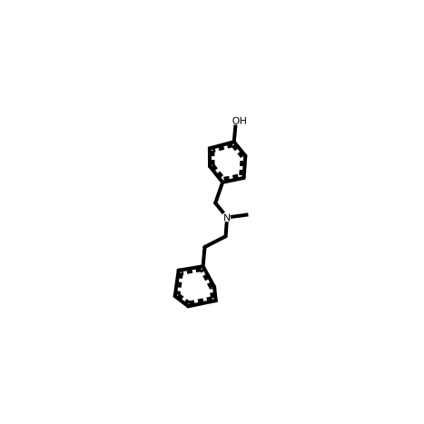 CN(CCc1ccccc1)Cc1ccc(O)cc1